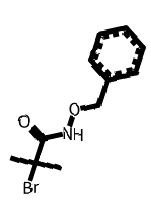 CC(C)(Br)C(=O)NOCc1ccccc1